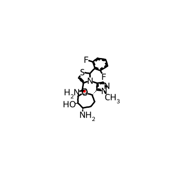 Cn1ncc(N2C(C(N)=O)=CSC2c2c(F)cccc2F)c1[C@@H]1CC[C@@H](N)[C@H](O)CO1